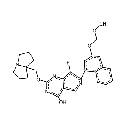 COCOc1cc(-c2ncc3c(O)nc(OCC45CCCN4CCC5)nc3c2F)c2ccccc2c1